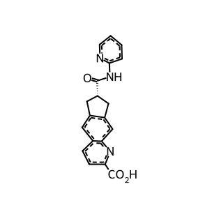 O=C(O)c1ccc2cc3c(cc2n1)C[C@@H](C(=O)Nc1ccccn1)C3